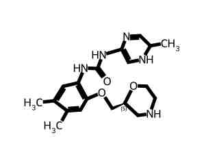 Cc1cc(NC(=O)NC2=CNC(C)C=N2)c(OC[C@@H]2CNCCO2)cc1C